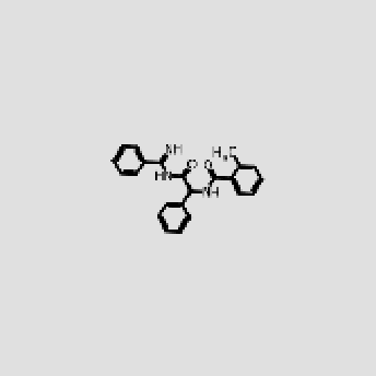 Cc1ccccc1C(=O)NC(C(=O)NC(=N)c1ccccc1)c1ccccc1